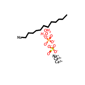 CCCCCCCCCCC[CH2][Na].O.O.O=P([O-])([O-])[O-].O=S(=O)([O-])[O-].[Ca+2].[Ca+2].[Na+]